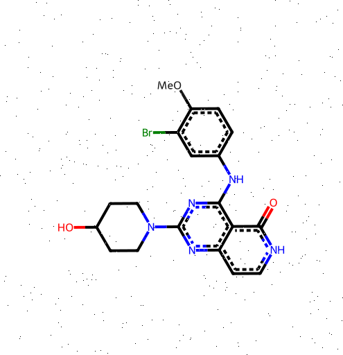 COc1ccc(Nc2nc(N3CCC(O)CC3)nc3cc[nH]c(=O)c23)cc1Br